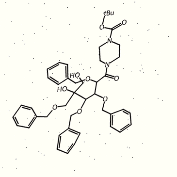 CC(C)(C)OC(=O)N1CCN(C(=O)C(OCc2ccccc2)C(OCc2ccccc2)C(OCc2ccccc2)C(O)(CO)COCc2ccccc2)CC1